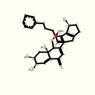 CC(=O)OCC(=O)[C@]12ON(CCCc3ccccc3)C3=C(CC4=C3[C@@H](Cl)CC4)C1=CC(=O)C1=C[C@@H](C)[C@@H](O)C[C@@]12C